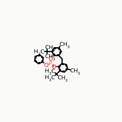 Cc1cc2c(c(C(C)(C)C)c1)OP(Oc1ccccc1)Oc1c(cc(C)cc1C(C)(C)C)C2